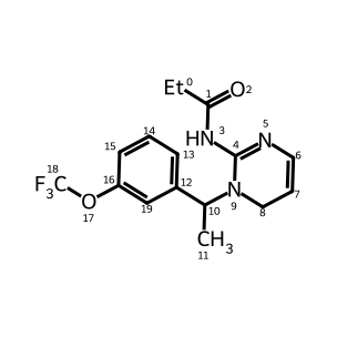 CCC(=O)NC1=NC=CCN1C(C)c1cccc(OC(F)(F)F)c1